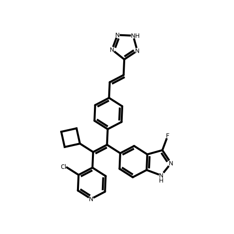 Fc1n[nH]c2ccc(C(=C(c3ccncc3Cl)C3CCC3)c3ccc(C=Cc4nn[nH]n4)cc3)cc12